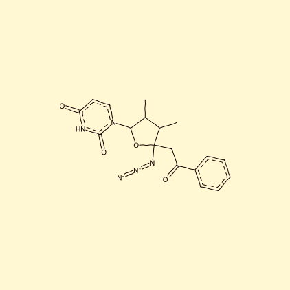 CC1C(n2ccc(=O)[nH]c2=O)OC(CC(=O)c2ccccc2)(N=[N+]=[N-])C1C